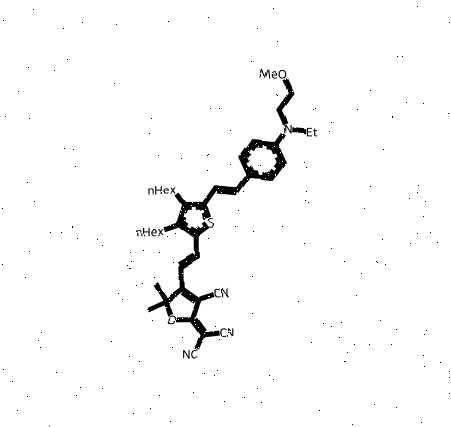 CCCCCCc1c(/C=C/C2=C(C#N)C(=C(C#N)C#N)OC2(C)C)sc(/C=C/c2ccc(N(CC)CCOC)cc2)c1CCCCCC